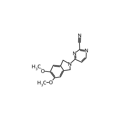 COc1cc2c(cc1OC)CN(c1ccnc(C#N)n1)C2